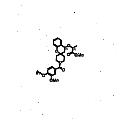 COC(=O)[C@H](C)O[C@H]1CC2(CCN(C(=O)c3ccc(OC(C)C)c(OC)c3)CC2)Oc2ccccc21